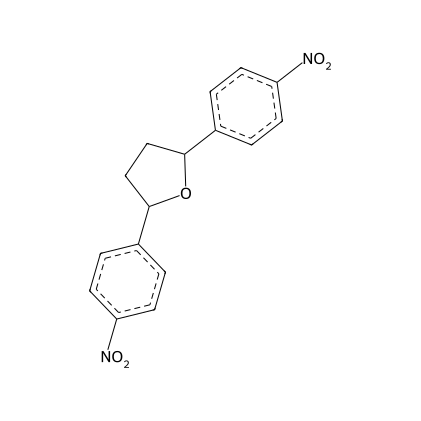 O=[N+]([O-])c1ccc(C2CCC(c3ccc([N+](=O)[O-])cc3)O2)cc1